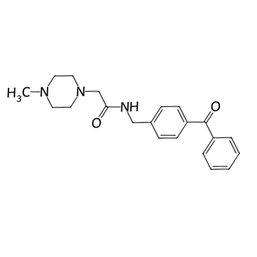 CN1CCN(CC(=O)NCc2ccc(C(=O)c3ccccc3)cc2)CC1